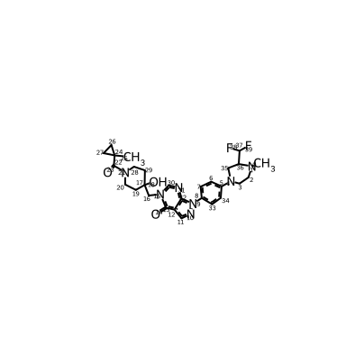 CN1CCN(c2ccc(-n3ncc4c(=O)n(CC5(O)CCN(C(=O)C6(C)CC6)CC5)cnc43)cc2)CC1C(F)F